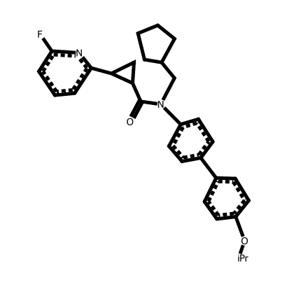 CC(C)Oc1ccc(-c2ccc(N(CC3CCCC3)C(=O)C3CC3c3cccc(F)n3)cc2)cc1